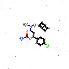 CN(C)CCC(OC(N)=O)c1ccc(Cl)cc1.c1cc2ccc1-2